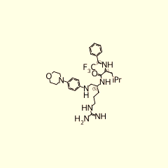 CC(C)C[C@H](N[C@@H](c1ccccc1)C(F)(F)F)C(=O)N[C@@H](CCCNC(=N)N)CNc1ccc(N2CCOCC2)cc1